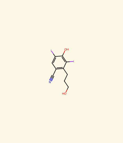 N#Cc1cc(I)c(O)c(I)c1CCCO